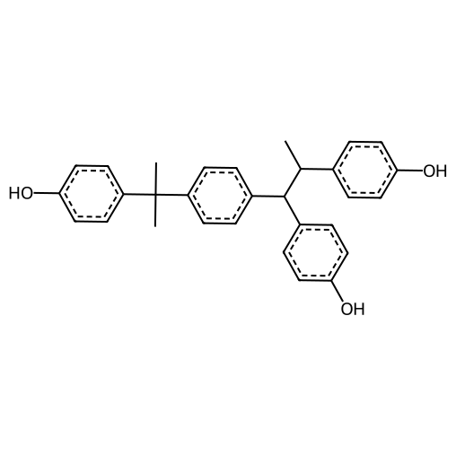 CC(c1ccc(O)cc1)C(c1ccc(O)cc1)c1ccc(C(C)(C)c2ccc(O)cc2)cc1